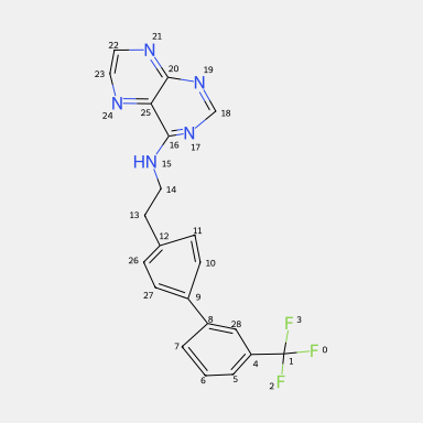 FC(F)(F)c1cccc(-c2ccc(CCNc3ncnc4nccnc34)cc2)c1